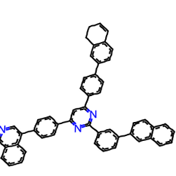 C1=Cc2ccc(-c3ccc(-c4cc(-c5ccc(-c6cncc7ccccc67)cc5)nc(-c5cccc(-c6ccc7ccccc7c6)c5)n4)cc3)cc2CC1